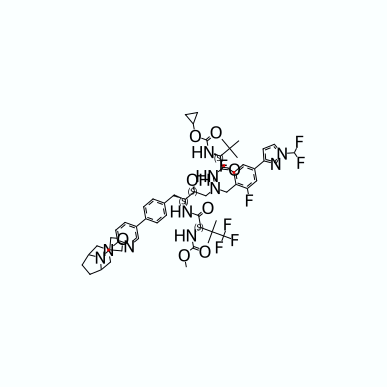 COC(=O)N[C@H](C(=O)N[C@@H](Cc1ccc(-c2ccc(N3CC4CCC(C3)N4C3COC3)nc2)cc1)[C@@H](O)CN(Cc1c(F)cc(-c2ccn(C(F)F)n2)cc1F)NC(=O)[C@@H](NC(=O)OC1CC1)C(C)(C)C)C(C)(C)C(F)(F)F